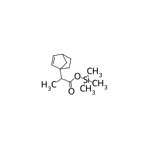 CC(C(=O)O[Si](C)(C)C)C12C=CC(CC1)C2